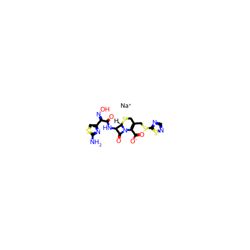 Nc1nc(/C(=N/O)C(=O)NC2C(=O)N3C(C(=O)[O-])=C(CSc4ncns4)CS[C@H]23)cs1.[Na+]